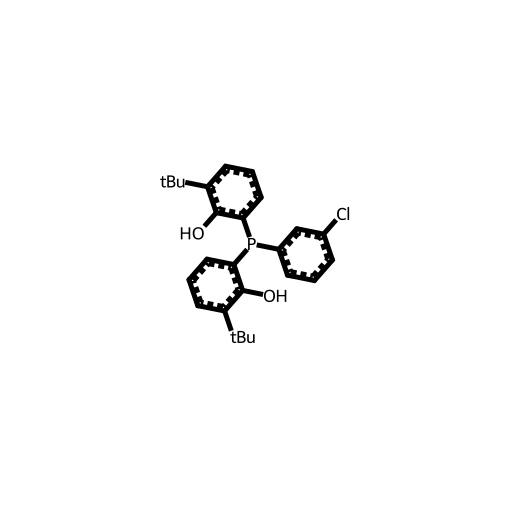 CC(C)(C)c1cccc(P(c2cccc(Cl)c2)c2cccc(C(C)(C)C)c2O)c1O